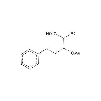 COC(CCc1ccccc1)C(C(C)=O)C(=O)O